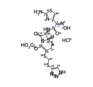 Cl.Nc1nc(/C(=N/O)C(=O)N[C@@H]2C(=O)N3C(OC(=O)O)=C(SCSc4c[nH]nn4)CS[C@@H]23)cs1